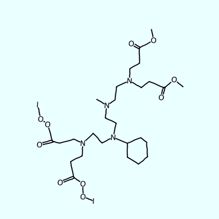 COC(=O)CCN(CCC(=O)OC)CCN(C)CCN(CCN(CCC(=O)OOI)CCC(=O)OOI)C1CCCCC1